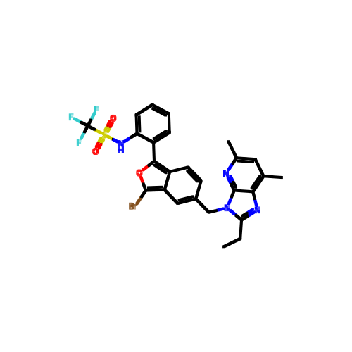 CCc1nc2c(C)cc(C)nc2n1Cc1ccc2c(-c3ccccc3NS(=O)(=O)C(F)(F)F)oc(Br)c2c1